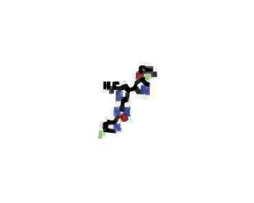 COC1(F)C=NC=C(c2cc(C)nc(-c3noc(-c4ccc(F)cn4)n3)c2)C1